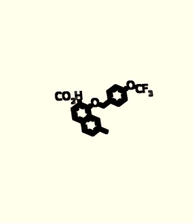 Cc1ccc2ccc(C(=O)O)c(OCc3ccc(OC(F)(F)F)cc3)c2c1